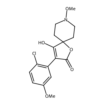 COc1ccc(Cl)c(C2=C(O)C3(CCN(OC)CC3)OC2=O)c1